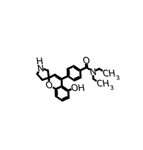 CCN(CC)C(=O)c1ccc(C2=CC3(CCNC3)Oc3cccc(O)c32)cc1